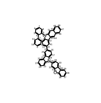 c1ccc(-c2ccccc2-n2c3ccc(-c4ccc5c(c4)c4ccccc4n5-c4ccc5c(c4)oc4ccccc45)cc3c3cc4ccccc4cc32)cc1